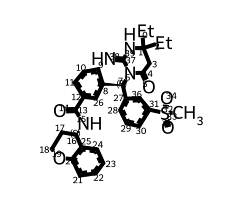 CCC1(CC)CC(=O)N([C@H](c2cccc(C(=O)N[C@H]3CCOc4ccccc43)c2)c2cccc(S(C)(=O)=O)c2)C(=N)N1